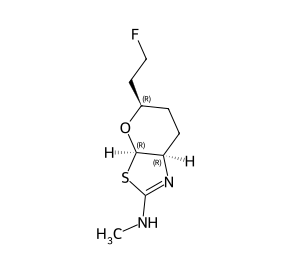 CNC1=N[C@@H]2CC[C@H](CCF)O[C@@H]2S1